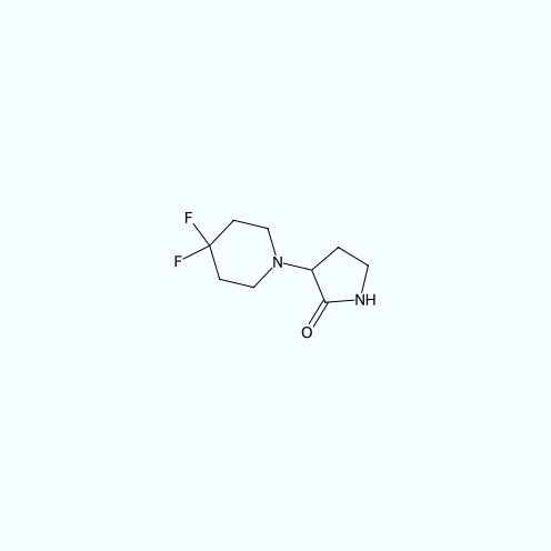 O=C1NCCC1N1CCC(F)(F)CC1